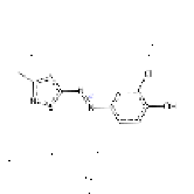 Cc1nsc(/N=N/c2ccc(O)c(Cl)c2)n1